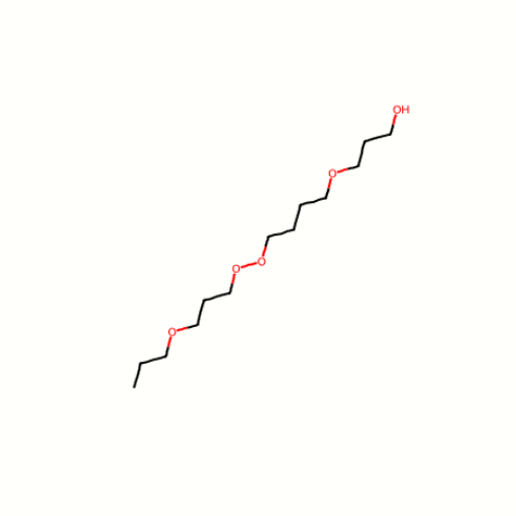 CCCOCCCOOCCCCOCCCO